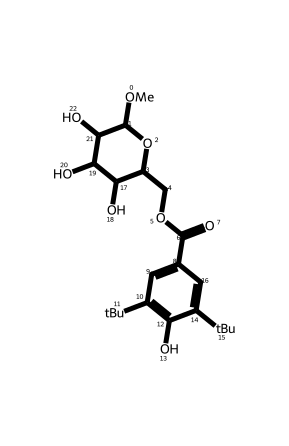 COC1OC(COC(=O)c2cc(C(C)(C)C)c(O)c(C(C)(C)C)c2)C(O)C(O)C1O